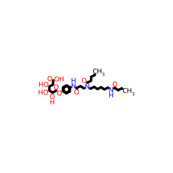 CCCCC(=O)N(CCCCCCNC(=O)CCC)CCC(=O)Nc1ccc(OC2OC(C(=O)O)C(O)C(O)C2O)cc1